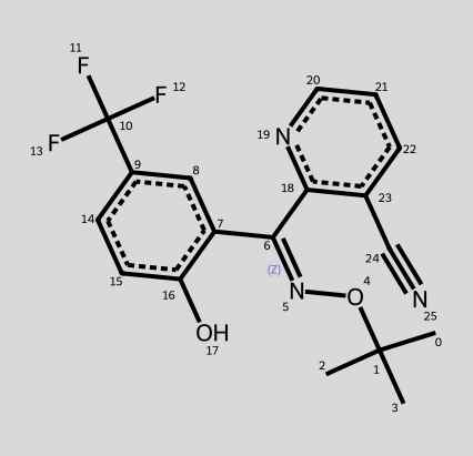 CC(C)(C)O/N=C(/c1cc(C(F)(F)F)ccc1O)c1ncccc1C#N